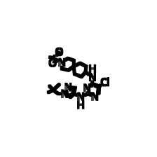 CC(C)(C)Cn1cc(Nc2ncc(Cl)c(NC3CCC4(CC3)CCN(S(C)(=O)=O)CC4)n2)cn1